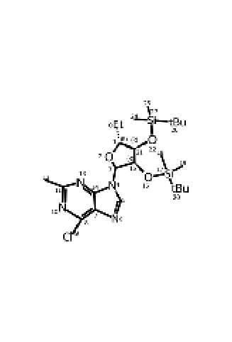 CC[C@H]1OC(n2cnc3c(Cl)nc(C)nc32)[C@H](O[Si](C)(C)C(C)(C)C)[C@@H]1O[Si](C)(C)C(C)(C)C